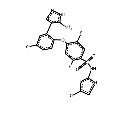 Nc1[nH]ncc1-c1cc(Cl)ccc1Oc1cc(F)c(S(=O)(=O)Nc2ncc(Cl)s2)cc1F